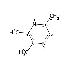 [CH2]c1cnc(C)c(C)n1